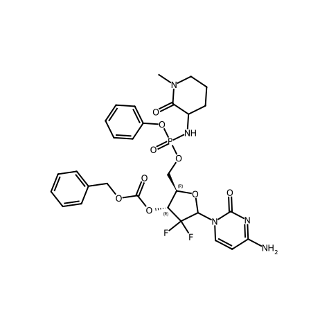 CN1CCCC(NP(=O)(OC[C@H]2OC(n3ccc(N)nc3=O)C(F)(F)[C@@H]2OC(=O)OCc2ccccc2)Oc2ccccc2)C1=O